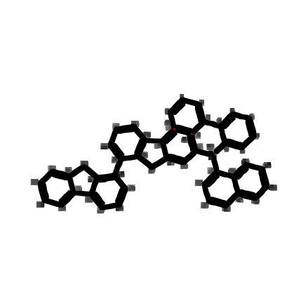 c1ccc(-c2ccccc2N(c2ccc3c(c2)Cc2c-3cccc2-c2cccc3c2Cc2ccccc2-3)c2cccc3ccccc23)cc1